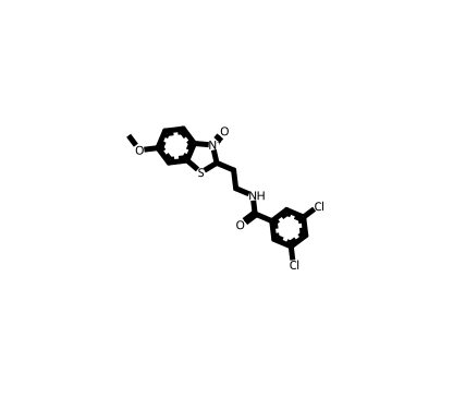 COc1ccc2c(c1)SC(CCNC(=O)c1cc(Cl)cc(Cl)c1)[N+]2=O